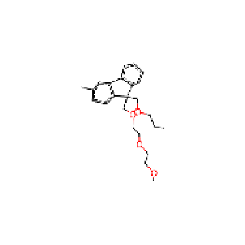 CCCOCC1(COCCOCCOC)c2ccccc2-c2cc(C)ccc21